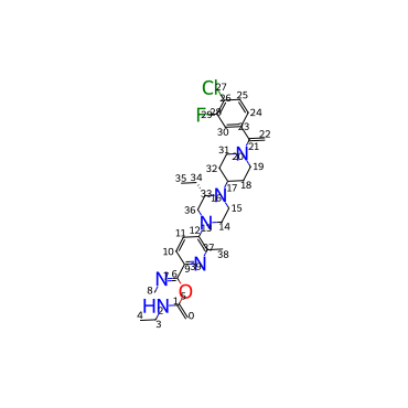 C=C(NCC)O/C(=N\C)c1ccc(N2CCN(C3CCN(C(=C)c4ccc(Cl)c(F)c4)CC3)[C@@H](CC)C2)c(C)n1